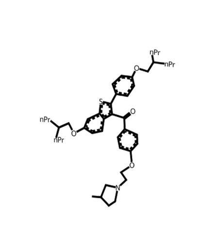 CCCC(CCC)COc1ccc(-c2sc3cc(OCC(CCC)CCC)ccc3c2C(=O)c2ccc(OCCN3CCC(C)C3)cc2)cc1